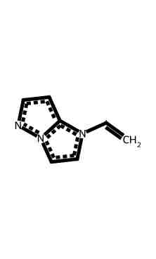 C=[C]n1ccn2nccc12